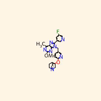 COc1nc(C)c2nc(-c3cncc(F)c3)n(Cc3ccc(OC4CN5CCC4CC5)nc3)c2n1